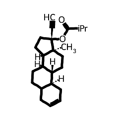 C#C[C@]1(OC(=O)C(C)C)CC[C@H]2[C@@H]3CCC4CC=CC[C@@H]4[C@H]3CC[C@@]21C